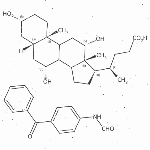 C[C@H](CCC(=O)O)[C@H]1CCC2C3C(C[C@H](O)[C@@]21C)[C@@]1(C)CC[C@@H](O)C[C@H]1C[C@H]3O.O=CNc1ccc(C(=O)c2ccccc2)cc1